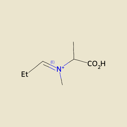 CC/C=[N+](\C)C(C)C(=O)O